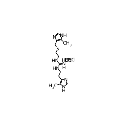 Cc1[nH]cnc1CCNC(=N)NCCSCc1nc[nH]c1C.Cl.Cl.Cl